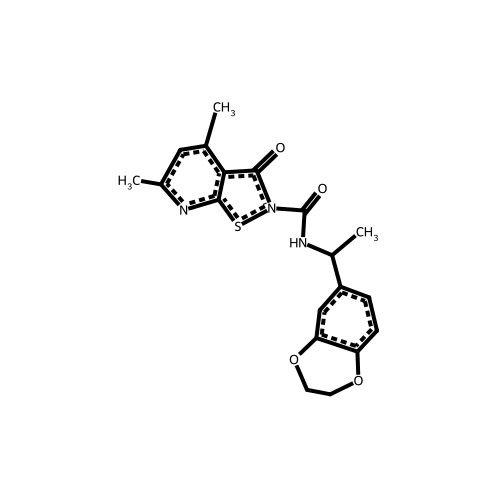 Cc1cc(C)c2c(=O)n(C(=O)NC(C)c3ccc4c(c3)OCCO4)sc2n1